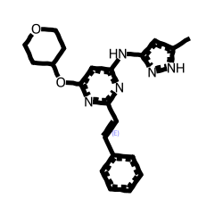 Cc1cc(Nc2cc(OC3CCOCC3)nc(/C=C/c3ccccc3)n2)n[nH]1